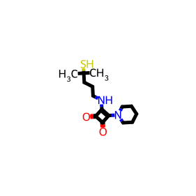 CC(C)(S)CCCNc1c(N2CCCCC2)c(=O)c1=O